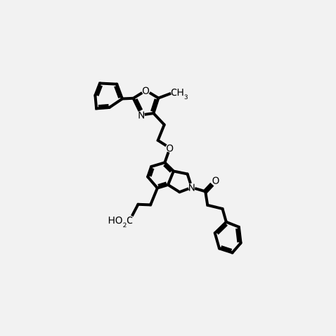 Cc1oc(-c2ccccc2)nc1CCOc1ccc(CCC(=O)O)c2c1CN(C(=O)CCc1ccccc1)C2